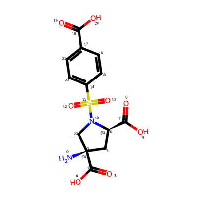 N[C@]1(C(=O)O)C[C@H](C(=O)O)N(S(=O)(=O)c2ccc(C(=O)O)cc2)C1